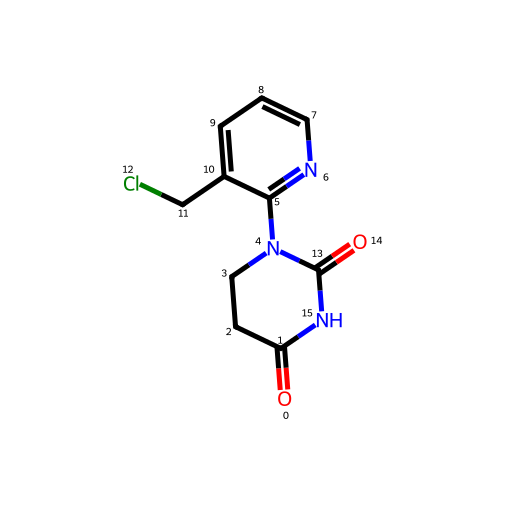 O=C1CCN(c2ncccc2CCl)C(=O)N1